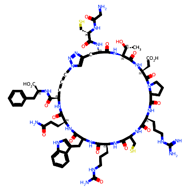 C[C@@H](O)[C@@H]1NC(=O)[C@@H](NC(=O)[C@H](CS)NC(=O)CN)Cc2cn(nn2)CCC[C@H](C(=O)N[C@@H](Cc2ccccc2)C(=O)O)NC(=O)[C@H](CCC(N)=O)NC(=O)C(Cc2c[nH]c3ccccc23)NC(=O)[C@H](CCCNC(N)=O)NC(=O)C(CS)NC(=O)[C@H](CCCNC(=N)N)NC(=O)C2CCCN2C(=O)[C@H](CC(=O)O)NC1=O